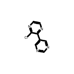 Clc1nccnc1-c1cncnc1